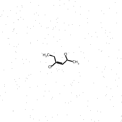 CC/C(Cl)=C\C(C)Cl